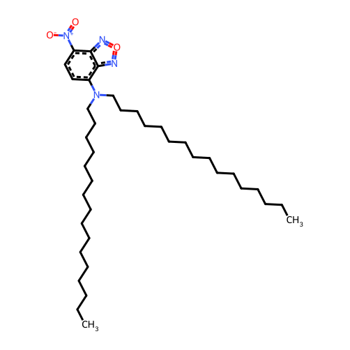 CCCCCCCCCCCCCCCCN(CCCCCCCCCCCCCCCC)c1ccc([N+](=O)[O-])c2nonc12